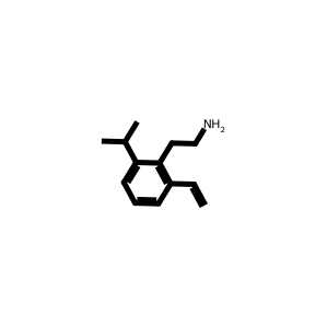 C=Cc1cccc(C(C)C)c1CCN